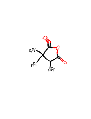 CCCC1C(=O)OC(=O)C1(CCC)CCC